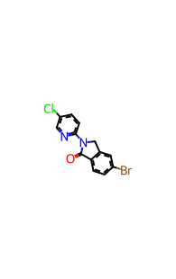 O=C1c2ccc(Br)cc2CN1c1ccc(Cl)cn1